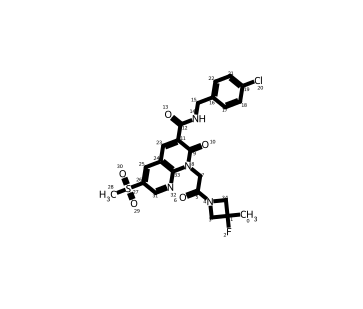 CC1(F)CN(C(=O)Cn2c(=O)c(C(=O)NCc3ccc(Cl)cc3)cc3cc(S(C)(=O)=O)cnc32)C1